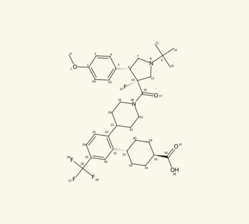 COc1ccc([C@@H]2CN(C(C)(C)C)C[C@@]2(F)C(=O)N2CCC(c3ccc(C(F)(F)F)cc3[C@H]3CC[C@H](C(=O)O)CC3)CC2)cc1